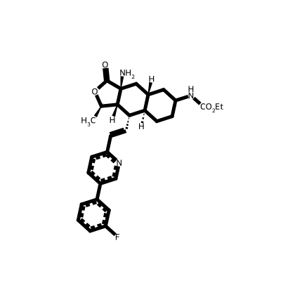 CCOC(=O)NC1CC[C@@H]2[C@@H](C1)C[C@@]1(N)C(=O)O[C@H](C)[C@H]1[C@H]2/C=C/c1ccc(-c2cccc(F)c2)cn1